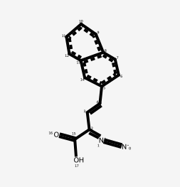 [N-]=[N+]=C(C=Cc1ccc2ccccc2c1)C(=O)O